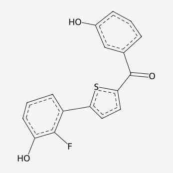 O=C(c1cccc(O)c1)c1ccc(-c2cccc(O)c2F)s1